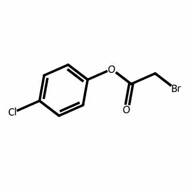 O=C(CBr)Oc1ccc(Cl)cc1